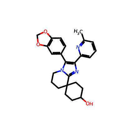 Cc1cccc(-c2nc3n(c2-c2ccc4c(c2)OCO4)CCCC32CCC(O)CC2)n1